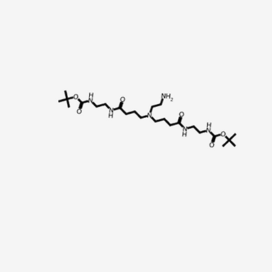 CC(C)(C)OC(=O)NCCNC(=O)CCCN(CCN)CCCC(=O)NCCNC(=O)OC(C)(C)C